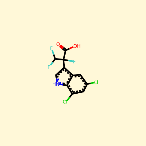 O=C(O)C(F)(c1c[nH]c2c(Cl)cc(Cl)cc12)C(F)F